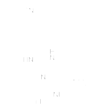 CCCNC1=NC(Nc2ccc(C#N)cc2)NC=C1C(=O)OCC